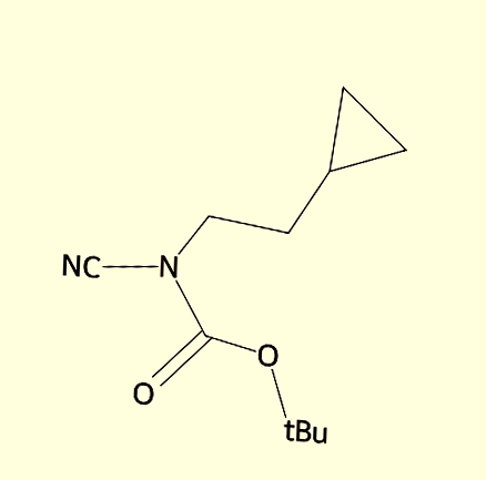 CC(C)(C)OC(=O)N(C#N)CCC1CC1